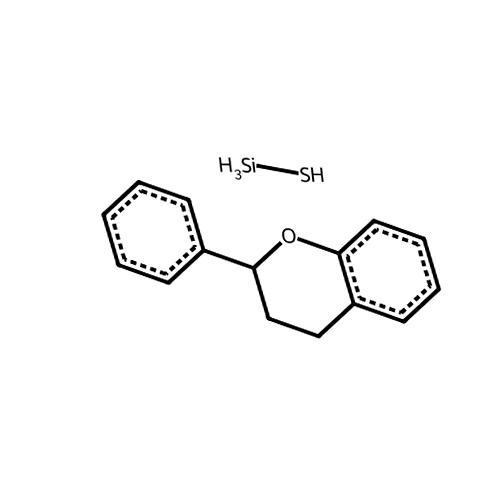 [SiH3]S.c1ccc(C2CCc3ccccc3O2)cc1